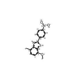 COc1ccc(C)c2nc(-c3ccc([N+](=O)[O-])cc3)sc12